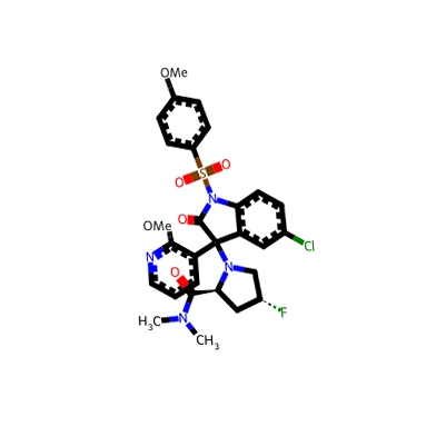 COc1ccc(S(=O)(=O)N2C(=O)C(c3cccnc3OC)(N3C[C@H](F)C[C@H]3C(=O)N(C)C)c3cc(Cl)ccc32)cc1